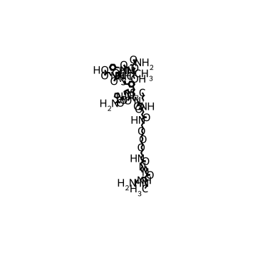 CCCC[C@H](NC(=O)CCC(=O)NCCCOCCOCCOCCCNC(=O)CN1CCN(C(=O)C(CNCC)CNCCN)CC1)C(=O)N=CC(CSCc1cccc(CSC[C@H](NC(=O)[C@H](Cc2ccccc2)NC(=O)[C@H](CCC(N)=O)NC(=O)[C@@H](C)[C@@H](C)O)C(=O)NCCC(=O)O)c1)C(=O)N1CCC[C@H]1C(=O)N1CCC[C@H]1C(N)=O